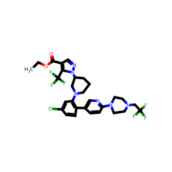 CCOC(=O)c1cnn(C2CCCN(c3cc(Cl)ccc3-c3ccc(N4CCN(CC(F)(F)F)CC4)nc3)C2)c1C(F)(F)F